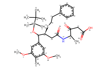 COc1cc(C(O[Si](C)(C)C(C)(C)C)[C@@H](CCCc2ccccc2)CC(=O)NC(C)C(=O)CC(=O)O)cc(OC)c1C